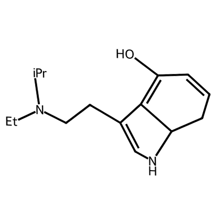 CCN(CCC1=CNC2CC=CC(O)=C12)C(C)C